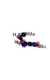 COc1ccc([C@@H](C)N2CC([C@@H](C)Oc3cc(-c4ccc(N5CCN(C(=O)OC(C)(C)C)CC5)cc4)cn4ncc(C#N)c34)CC2=O)cc1